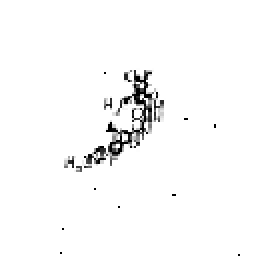 CCn1cc(NC(=O)Nc2nnc(-c3cn(C4CC4)c4cc(N5CCN(C)CC5)c(F)cc4c3=O)o2)c(=O)c2cc(F)c(Cl)cc21